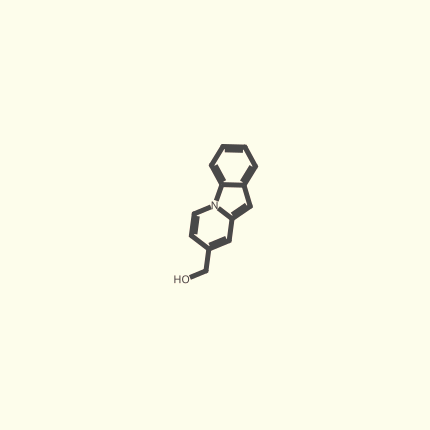 OCc1ccn2c(c1)cc1ccccc12